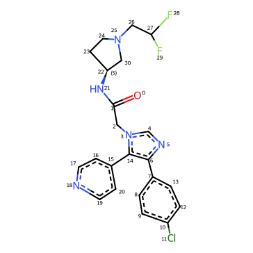 O=C(Cn1cnc(-c2ccc(Cl)cc2)c1-c1ccncc1)N[C@H]1CCN(CC(F)F)C1